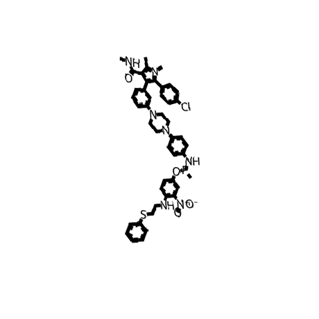 CNC(=O)c1c(-c2cccc(N3CCN(c4ccc(NP(C)Oc5ccc(NCCSc6ccccc6)c([N+](=O)[O-])c5)cc4)CC3)c2)c(-c2ccc(Cl)cc2)n(C)c1C